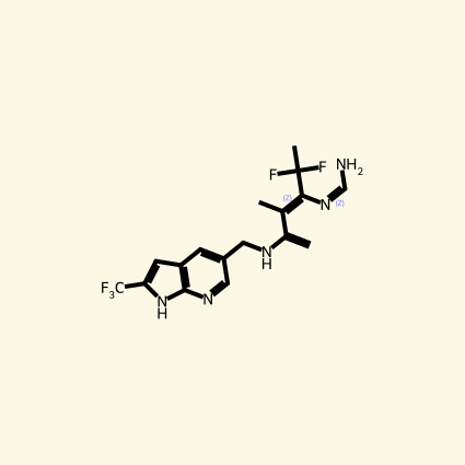 C=C(NCc1cnc2[nH]c(C(F)(F)F)cc2c1)/C(C)=C(\N=C/N)C(C)(F)F